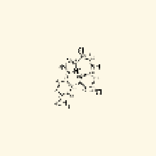 Cc1ccc(-c2nnc3n2-c2ccc(Cl)cc2NC[C@@H]3C)cc1